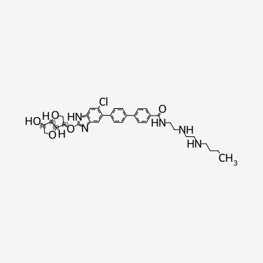 CCCCNCCNCCNC(=O)c1ccc(-c2ccc(-c3cc4nc(O[C@@H]5CO[C@H]6[C@@H]5OC[C@H]6O)[nH]c4cc3Cl)cc2)cc1